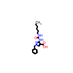 CCCCCCNC(=O)Nc1nn(Cc2ccccc2)cc1C(=O)O